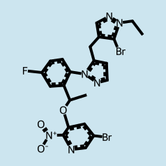 CCn1ncc(Cc2ccnn2-c2ccc(F)cc2C(C)Oc2cc(Br)cnc2[N+](=O)[O-])c1Br